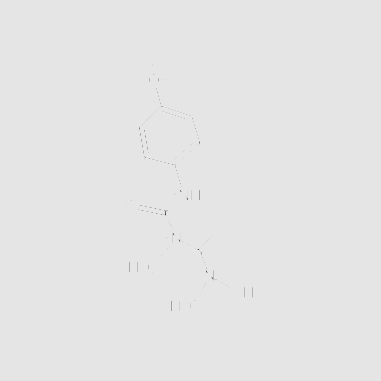 CN(C)C(=O)N(C)C(=O)Nc1ccc(O)cc1